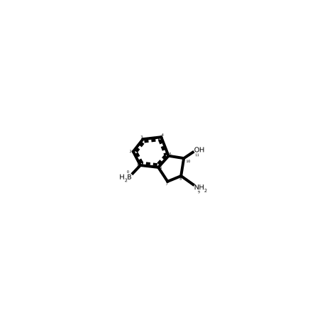 Bc1cccc2c1CC(N)C2O